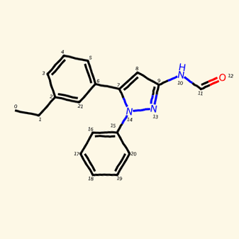 CCc1cccc(-c2cc(NC=O)nn2-c2ccccc2)c1